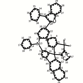 CC1(C)c2ccccc2C2(c3cc(N(c4ccccc4)c4ccc(-c5oc6ccccc6c5-c5ccccc5)cc4)ccc3-c3cc4ccccc4cc32)c2ccccc21